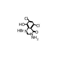 Br.Nn1cnc2c(O)c(Cl)cc(Cl)c2c1=O